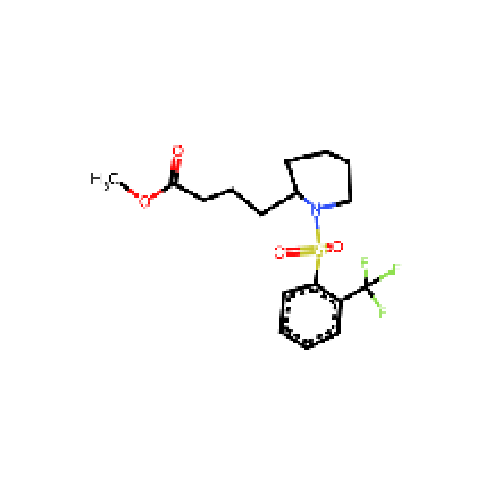 COC(=O)CCCC1CCCCN1S(=O)(=O)c1ccccc1C(F)(F)F